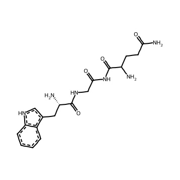 NC(=O)CCC(N)C(=O)NC(=O)CNC(=O)[C@@H](N)Cc1c[nH]c2ccccc12